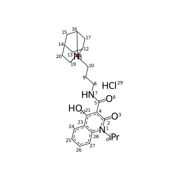 CC(C)n1c(=O)c(C(=O)NCCCN2C3CC4CC(C3)CC2C4)c(O)c2ccccc21.Cl